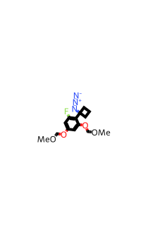 COCOc1cc(F)c(C2(N=[N+]=[N-])CCC2)c(OCOC)c1